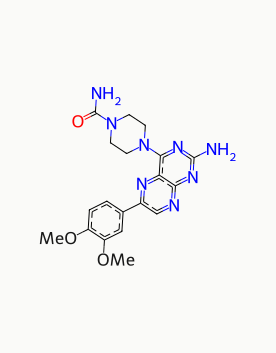 COc1ccc(-c2cnc3nc(N)nc(N4CCN(C(N)=O)CC4)c3n2)cc1OC